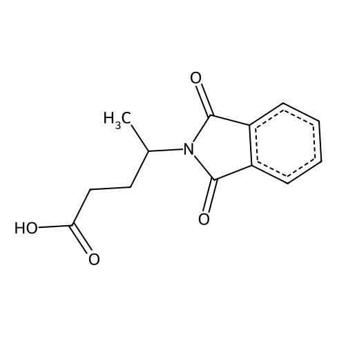 CC(CCC(=O)O)N1C(=O)c2ccccc2C1=O